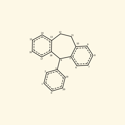 c1ccc(C2c3ccccc3CCc3ccccc32)cc1